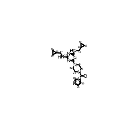 O=C(N1CCN(c2nc(NCC3CC3)nc(NCC3CC3)n2)CC1)n1ccnc1